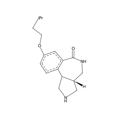 CC(C)CCOc1ccc2c(c1)C(=O)NC[C@@H]1CNCC21